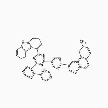 CC1C=Cc2ccc3ccc(-c4ccc(-c5nc(C6=CCCc7oc8c(c76)CCC=C8)nc(-c6ccccc6-c6ccccc6)n5)cc4)cc3c2C1